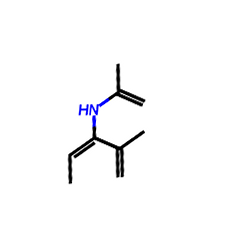 C=C(C)N/C(=C/C)C(=C)C